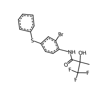 CC(O)(C(=O)Nc1ccc(Sc2ccccc2)cc1Br)C(F)(F)F